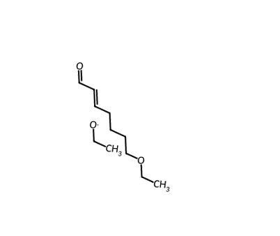 CCOCCCCC=CC=O.CC[O]